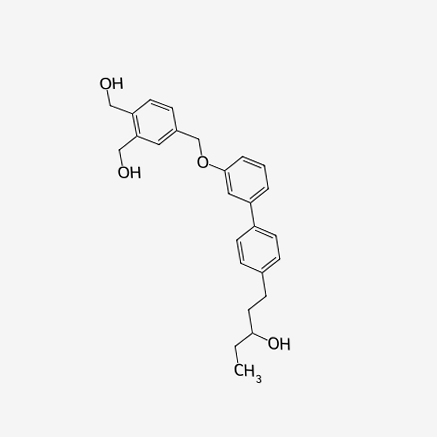 CCC(O)CCc1ccc(-c2cccc(OCc3ccc(CO)c(CO)c3)c2)cc1